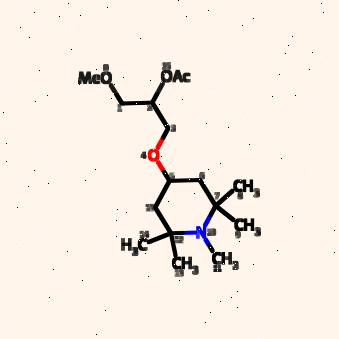 COCC(COC1CC(C)(C)N(C)C(C)(C)C1)OC(C)=O